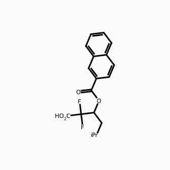 CC(C)CC(OC(=O)c1ccc2ccccc2c1)C(F)(F)C(=O)O